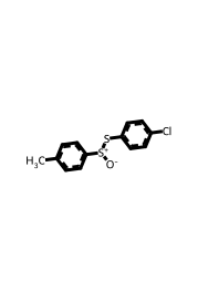 Cc1ccc([S+]([O-])Sc2ccc(Cl)cc2)cc1